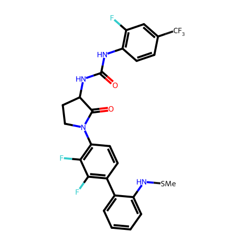 CSNc1ccccc1-c1ccc(N2CCC(NC(=O)Nc3ccc(C(F)(F)F)cc3F)C2=O)c(F)c1F